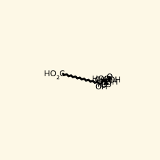 O=C(O)CCCCCCCCCCCCCCCC(O)[C@H](O)[C@H]1OC(=O)C(OP(=O)(O)O)=C1O